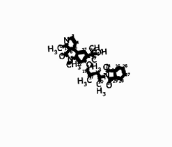 Cc1nccc2c1c(=O)n(C)c1cc(OCC(C)CC(C)N3C(=O)c4ccccc4C3=O)c(C(C)(C)O)cc21